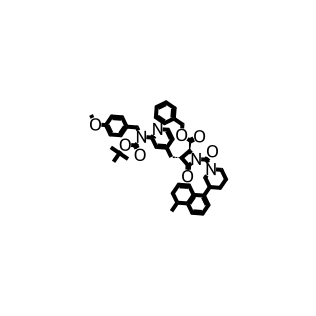 COc1ccc(CN(C(=O)OC(C)(C)C)c2cc(C[C@H]3C(=O)N(C(=O)N4CCCC(c5cccc6c5C=CCC6C)C4)[C@@H]3C(=O)OCc3ccccc3)ccn2)cc1